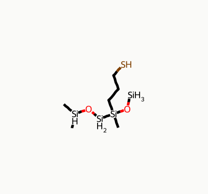 C[SiH](C)O[SiH2][Si](C)(CCCS)O[SiH3]